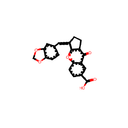 O=C(O)c1ccc2oc3c(c(=O)c2c1)CC/C3=C/c1ccc2c(c1)OCO2